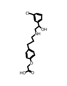 O=C(O)COc1ccc(CCCNCC(O)c2cccc(Cl)c2)cc1